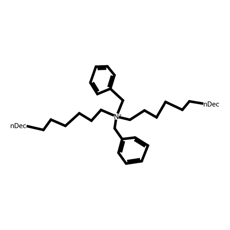 CCCCCCCCCCCCCCCC[N+](CCCCCCCCCCCCCCCC)(Cc1ccccc1)Cc1ccccc1